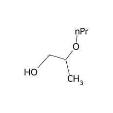 [CH2]CCOC(C)CO